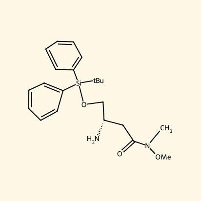 CON(C)C(=O)C[C@H](N)CO[Si](c1ccccc1)(c1ccccc1)C(C)(C)C